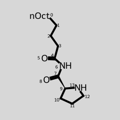 CCCCCCCCCCCC(=O)NC(=O)[C@@H]1CCCN1